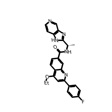 CCOc1cc(-c2ccc(F)cc2)nc2cc(C(=O)N[C@@H](C)c3nc4cnccc4[nH]3)ccc12